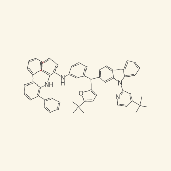 CC(C)(C)c1ccnc(-n2c3ccccc3c3ccc(C(c4cccc(Nc5ccccc5Nc5c(-c6ccccc6)cccc5-c5ccccc5)c4)c4ccc(C(C)(C)C)o4)cc32)c1